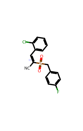 N#C/C(=C/c1ccccc1Cl)S(=O)(=O)Cc1ccc(F)cc1